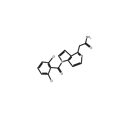 NC(=O)Cc1nccc2c1ccn2C(=O)c1c(Cl)cccc1Cl